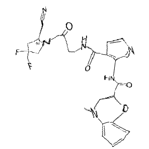 CN1CC(C(=O)Nc2cnccc2C(=O)NCC(=O)N2CC(F)(F)C[C@H]2C#N)Oc2ccccc21